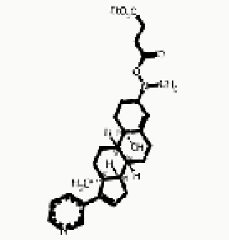 CCOC(=O)CCC(=O)ON(C)C1C=C2CC[C@H]3[C@H](CC[C@]4(C)C(c5cccnc5)=CC[C@@H]34)[C@@]2(C)CC1